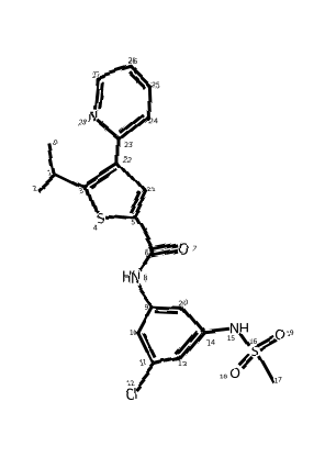 CC(C)c1sc(C(=O)Nc2cc(Cl)cc(NS(C)(=O)=O)c2)cc1-c1ccccn1